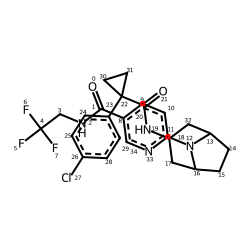 O=C(NCC(F)(F)F)c1ccc(N2C3CCC2CC(NC(=O)C2(c4ccc(Cl)cc4)CC2)C3)nc1